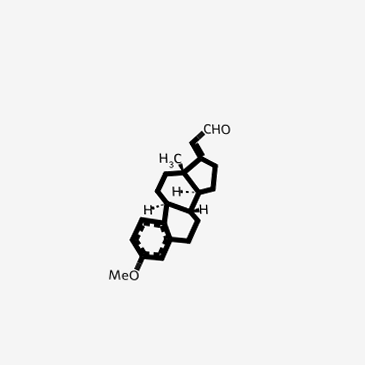 COc1ccc2c(c1)CC[C@@H]1[C@@H]2CC[C@]2(C)/C(=C/C=O)CC[C@@H]12